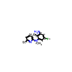 CCc1cccc(N(C)c2cc(F)cc(N)c2C)n1